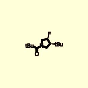 CC(C)(C)C(=O)N1C[C@@H](C(C)(C)C)[C@@H](F)C1